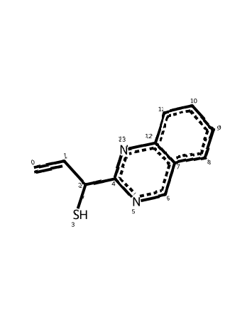 C=CC(S)c1ncc2ccccc2n1